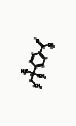 CCC(C)(C)c1ccc(C(C)=O)cc1